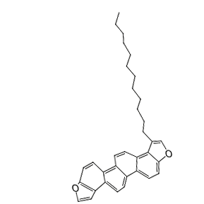 CCCCCCCCCCCCc1coc2ccc3c4ccc5c6ccoc6ccc5c4ccc3c12